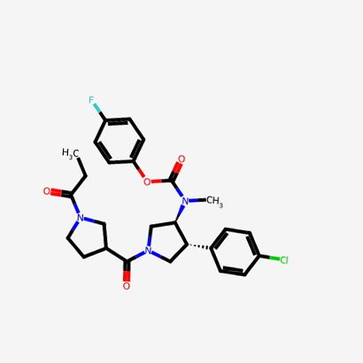 CCC(=O)N1CCC(C(=O)N2C[C@@H](N(C)C(=O)Oc3ccc(F)cc3)[C@H](c3ccc(Cl)cc3)C2)C1